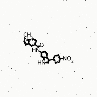 Cn1ccc2cc(C(=O)Nc3ccc4c(-c5ccc([N+](=O)[O-])cc5)c[nH]c4c3)ccc21